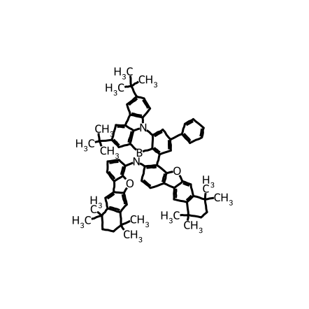 CC(C)(C)c1ccc2c(c1)c1cc(C(C)(C)C)cc3c1n2-c1cc(-c2ccccc2)cc2c1B3N(c1cccc3c1oc1cc4c(cc13)C(C)(C)CCC4(C)C)c1ccc3c(oc4cc5c(cc43)C(C)(C)CCC5(C)C)c1-2